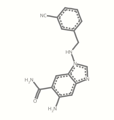 N#Cc1cccc(CNn2cnc3cc(N)c(C(N)=O)cc32)c1